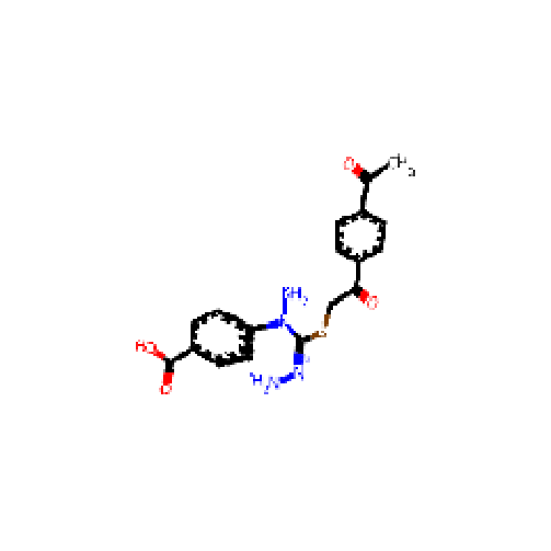 CC(=O)c1ccc(C(=O)CS/C(=N/N)N(N)c2ccc(C(=O)O)cc2)cc1